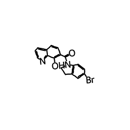 O=C(c1ccc2cccnc2c1O)N1CCc2cc(Br)ccc21